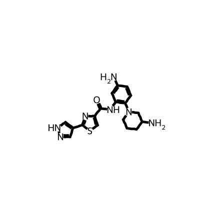 Nc1ccc(N2CCCC(N)C2)c(NC(=O)c2csc(-c3cn[nH]c3)n2)c1